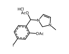 CC(=O)Oc1cc(I)ccc1C(OC(C)=O)N1C=CN(C)C1.Cl